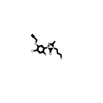 C#CCOc1cc(-n2nc(C)n(CCCF)c2=O)c(F)cc1Cl